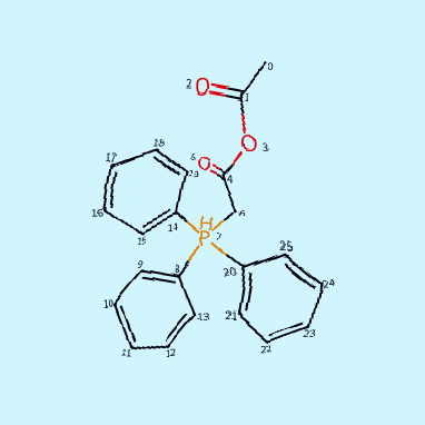 CC(=O)OC(=O)C[PH](c1ccccc1)(c1ccccc1)c1ccccc1